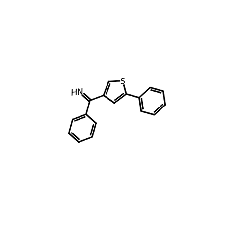 N=C(c1ccccc1)c1csc(-c2ccccc2)c1